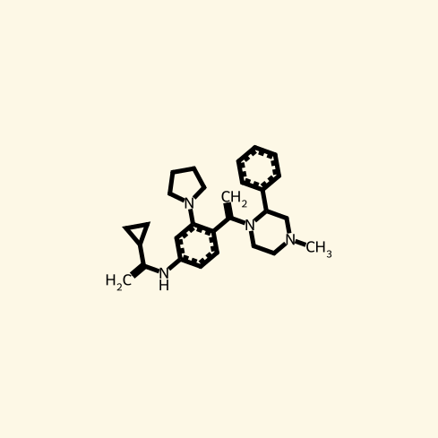 C=C(Nc1ccc(C(=C)N2CCN(C)CC2c2ccccc2)c(N2CCCC2)c1)C1CC1